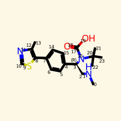 CNC[C@@H](c1ccc(-c2scnc2C)cc1)N(C(=O)O)C(C)(C)C